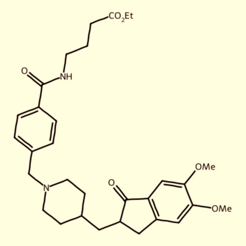 CCOC(=O)CCCNC(=O)c1ccc(CN2CCC(CC3Cc4cc(OC)c(OC)cc4C3=O)CC2)cc1